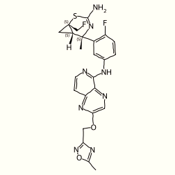 Cc1nc(COc2cnc3c(Nc4ccc(F)c([C@@]5(C)N=C(N)S[C@@]6(CF)C[C@H]65)c4)nccc3n2)no1